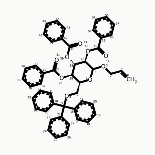 C=CCOC1O[C@@H](COC(c2ccccc2)(c2ccccc2)c2ccccc2)[C@@H](OC(=O)c2ccccc2)[C@H](OC(=O)c2ccccc2)[C@H]1OC(=O)c1ccccc1